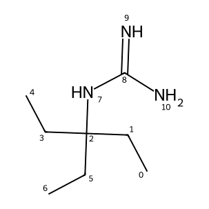 CCC(CC)(CC)NC(=N)N